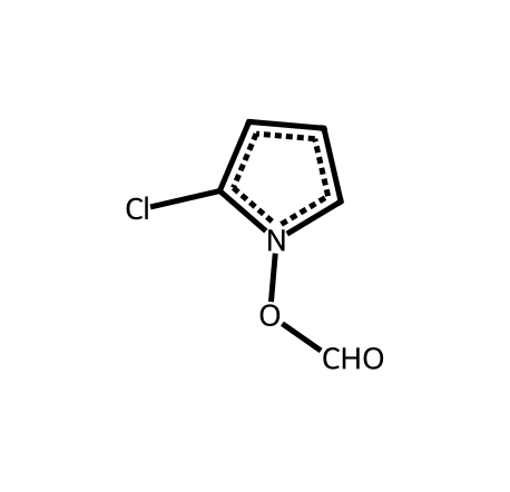 O=COn1cccc1Cl